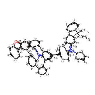 CC1(C)c2ccccc2-c2cc3c4cc(-c5cc6c7c(c5)c5ccccc5n7-c5c(cccc5-c5cccc7oc8ccccc8c57)-c5ccccc5-6)ccc4n(-c4ccccc4)c3cc21